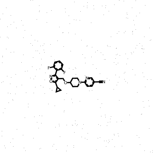 N#Cc1ccc(N2CCC(OCc3c(-c4c(F)cccc4F)noc3C3CC3)CC2)nc1